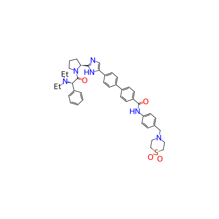 CCN(CC)[C@@H](C(=O)N1CCC[C@H]1c1ncc(-c2ccc(-c3ccc(C(=O)Nc4ccc(CN5CCS(=O)(=O)CC5)cc4)cc3)cc2)[nH]1)c1ccccc1